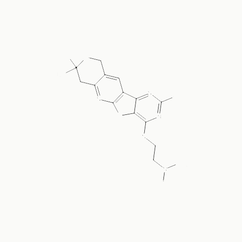 Cc1nc(NCCN(C)C)c2sc3nc4c(cc3c2n1)COC(C)(C)C4